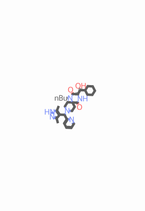 CCCCN1C(=O)[C@@H]([C@H](O)C2CCCCC2)NC(=O)C12CCN(C(c1ccccn1)c1c(C)n[nH]c1C)CC2